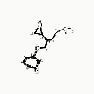 CCCC(COc1cccnc1)C1CO1